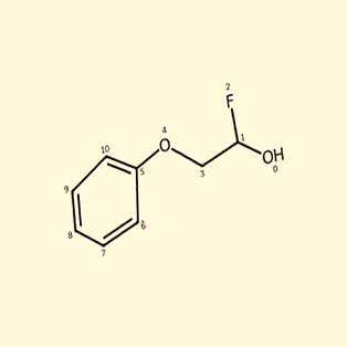 OC(F)COc1[c]cccc1